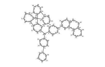 c1ccc(-c2ccc(N(c3ccc(-c4ccc5ccc6ccccc6c5c4)cc3)c3ccc4c(c3)C3(c5ccccc5-c5ccccc53)c3ccccc3-4)cc2)cc1